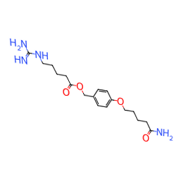 N=C(N)NCCCCC(=O)OCc1ccc(OCCCCC(N)=O)cc1